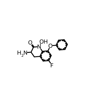 NC1Cc2cc(F)cc(Oc3ccccc3)c2N(O)C1=O